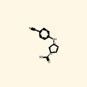 N#Cc1ccc(N[C@H]2CC[C@@H](C(=O)O)C2)cc1